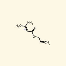 C=CCOC(=O)/C=C(/C)N